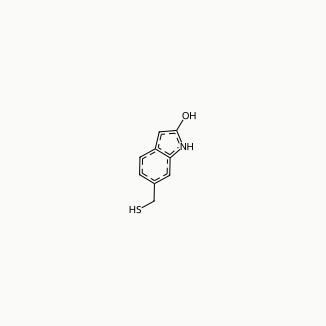 Oc1cc2ccc(CS)cc2[nH]1